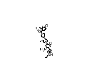 CCCNc1nnc(-c2nc(Cl)c(N3CCN(C4CCN(C(=O)c5ccc(Cl)nc5N)CC4)[C@@H](CC)C3)nc2N)o1